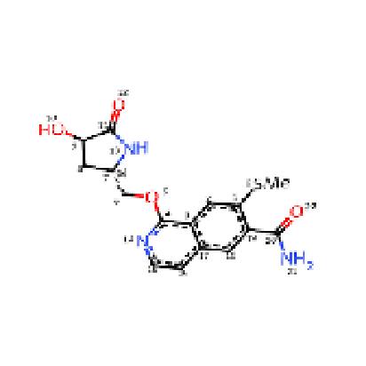 CSc1cc2c(OC[C@@H]3CC(O)C(=O)N3)nccc2cc1C(N)=O